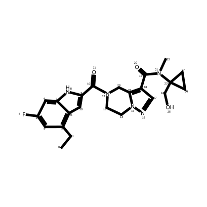 CCc1cc(F)cc2[nH]c(C(=O)N3CCn4ncc(C(=O)N(C)C5(CO)CC5)c4C3)cc12